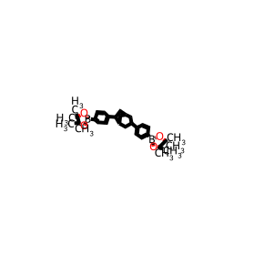 CC1(C)OB(c2ccc(C3CC4CC(C3)C(c3ccc(B5OC(C)(C)C(C)(C)O5)cc3)C4)cc2)OC1(C)C